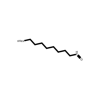 CCCCCCCCCCCCCC[PH]=O